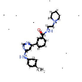 Cc1ccc(Nc2cc(-c3cccc(C(=O)NCCN4CCCCC4)c3)ncn2)cc1